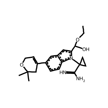 CCOC(O)c1cc2cc(C3=CCOC(C)(C)C3)ccc2n1C1(C(=N)N)CC1